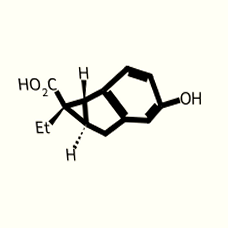 CC[C@]1(C(=O)O)[C@@H]2Cc3cc(O)ccc3[C@H]21